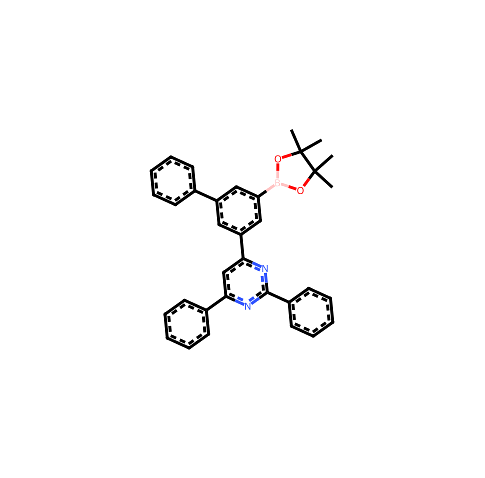 CC1(C)OB(c2cc(-c3ccccc3)cc(-c3cc(-c4ccccc4)nc(-c4ccccc4)n3)c2)OC1(C)C